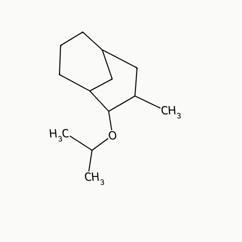 CC(C)OC1C(C)CC2CCCC1C2